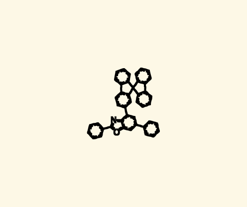 c1ccc(-c2cc(-c3ccc4c(c3)C3(c5ccccc5-c5ccccc53)c3ccccc3-4)c3nc(-c4ccccc4)oc3c2)cc1